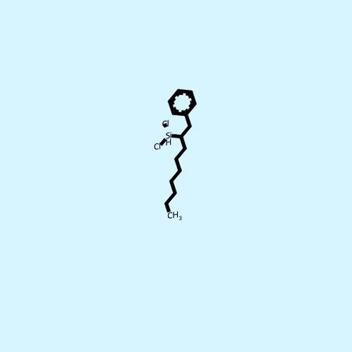 CCCCCCCC(Cc1ccccc1)[SiH](Cl)Cl